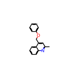 Cc1cc(COc2c[c]ccc2)c2ccccc2n1